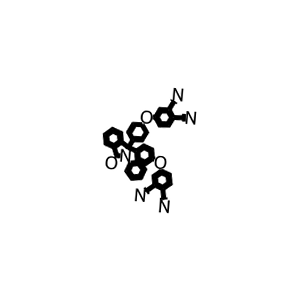 N#Cc1ccc(Oc2ccc(C3(C4=CCC(Oc5ccc(C#N)c(C#N)c5)C=C4)c4ccccc4C(=O)N3c3ccccc3)cc2)cc1C#N